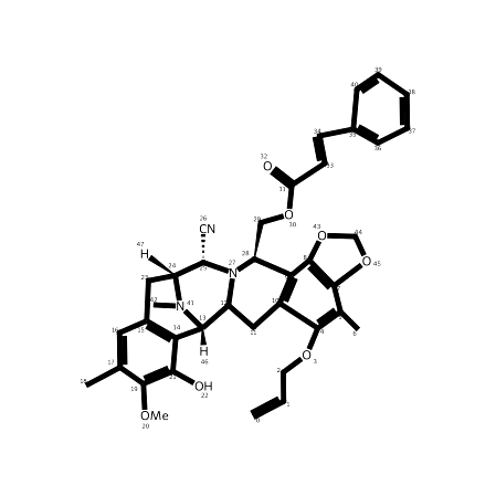 C=CCOc1c(C)c2c(c3c1CC1[C@@H]4c5c(cc(C)c(OC)c5O)C[C@H]([C@H](C#N)N1[C@H]3COC(=O)/C=C/c1ccccc1)N4C)OCO2